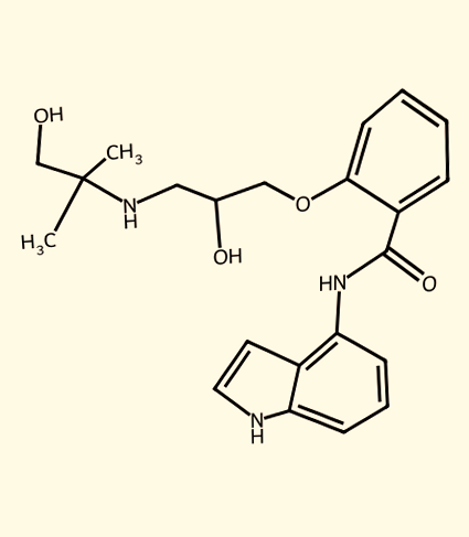 CC(C)(CO)NCC(O)COc1ccccc1C(=O)Nc1cccc2[nH]ccc12